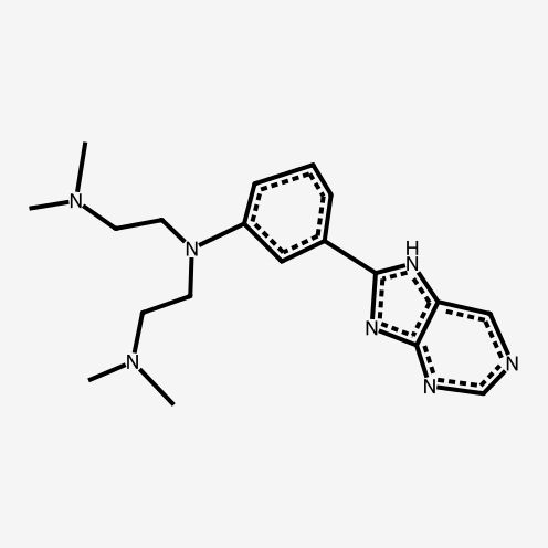 CN(C)CCN(CCN(C)C)c1cccc(-c2nc3ncncc3[nH]2)c1